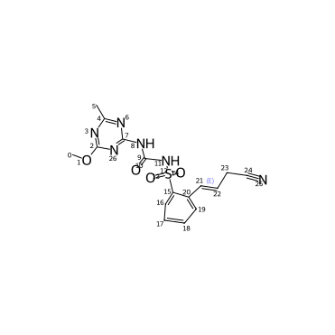 COc1nc(C)nc(NC(=O)NS(=O)(=O)c2ccccc2/C=C/CC#N)n1